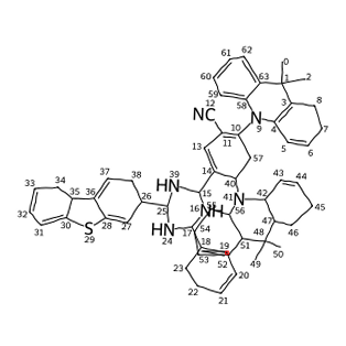 CC1(C)C2=C(C=CCC2)N(C2=C(C#N)C=C(C3NC(C4=CC=CCC4)NC(C4C=C5SC6=CC=CCC6C5=CC4)N3)C(N3C4C=CCCC4C(C)(C)C4C=CCCC43)C2)c2ccccc21